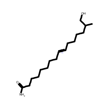 CC(CO)CCCC/C=C/CCCCCCCC(N)=O